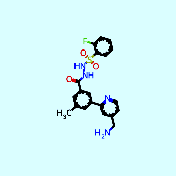 Cc1cc(C(=O)NNS(=O)(=O)c2ccccc2F)cc(-c2cc(CN)ccn2)c1